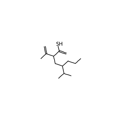 C=C(C)C(CC(CCC)C(C)C)C(=C)S